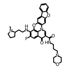 CN1CCCC1CCNc1c(F)cc2c(=O)c(C(=O)NCCCN3CCOCC3)cn3c2c1Oc1cc2c(cc1-3)oc1ccccc12